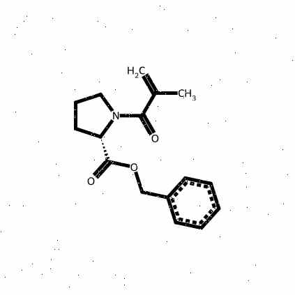 C=C(C)C(=O)N1CCC[C@H]1C(=O)OCc1ccccc1